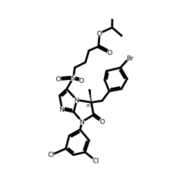 CC(C)OC(=O)CCCS(=O)(=O)c1cnc2n1[C@](C)(Cc1ccc(Br)cc1)C(=O)N2c1cc(Cl)cc(Cl)c1